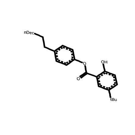 CCCCCCCCCCCCc1ccc(OC(=O)c2cc(C(C)(C)C)ccc2O)cc1